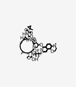 CC[C@@H]1C[C@@H](C)CC/C=C\[C@@H]2C[C@@]2(C(=O)NS(=O)(=O)C2(C)CC2)NC(=O)[C@@H]2C[C@@H](Oc3nccc4c5c(ccc34)N(C)CCO5)CN2C(=O)[C@H]1N(C(=O)O)C(C)(C)C(F)(F)F